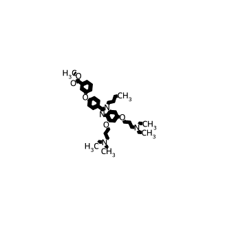 CCCCn1c(-c2ccc(Oc3cccc(C(=O)OC)c3)cc2)nc2c(OCCCN(CC)CC)cc(OCCCN(CC)CC)cc21